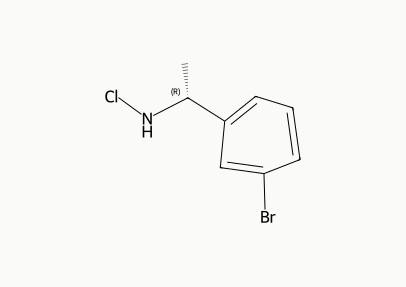 C[C@@H](NCl)c1cccc(Br)c1